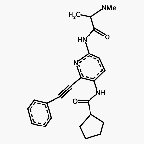 CNC(C)C(=O)Nc1ccc(NC(=O)C2CCCC2)c(C#Cc2ccccc2)n1